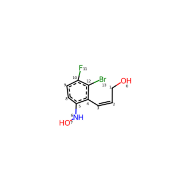 OC/C=C\c1c(NO)ccc(F)c1Br